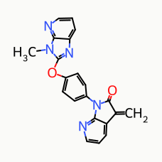 C=C1C(=O)N(c2ccc(Oc3nc4cccnc4n3C)cc2)c2ncccc21